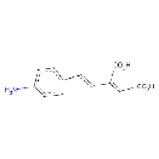 Nc1ccc(C=C/C(=C/C(=O)O)C(=O)O)cc1